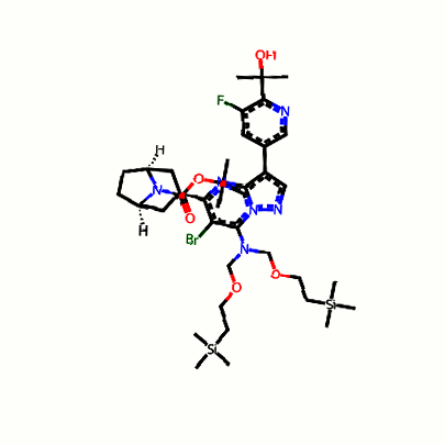 CC(C)(C)OC(=O)N1[C@@H]2CC[C@H]1C[C@@H](c1nc3c(-c4cnc(C(C)(C)O)c(F)c4)cnn3c(N(COCC[Si](C)(C)C)COCC[Si](C)(C)C)c1Br)C2